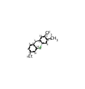 CCc1ccc(Cc2ccc(C)c(C(F)(F)F)c2)c(F)c1